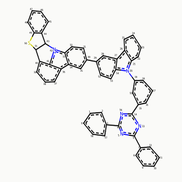 c1ccc(-c2nc(-c3ccccc3)nc(-c3cccc(-n4c5ccccc5c5cc(-c6ccc7c(c6)c6cccc8c6n7C6c7ccccc7SC86)ccc54)c3)n2)cc1